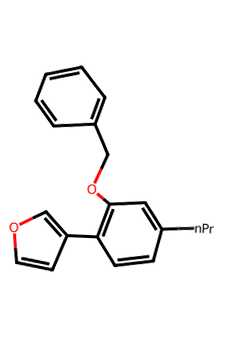 CCCc1ccc(-c2ccoc2)c(OCc2ccccc2)c1